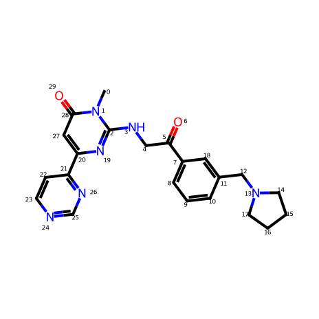 Cn1c(NCC(=O)c2cccc(CN3CCCC3)c2)nc(-c2ccncn2)cc1=O